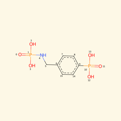 O=P(O)(O)NCc1ccc(P(=O)(O)O)cc1